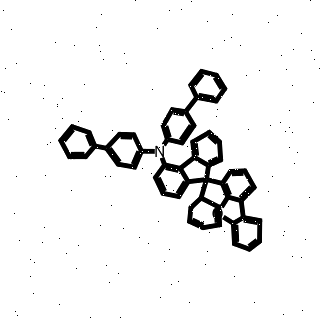 C1=CCC(C2(c3cccc4c3oc3ccccc34)c3ccccc3-c3c(N(c4ccc(-c5ccccc5)cc4)c4ccc(-c5ccccc5)cc4)cccc32)C=C1